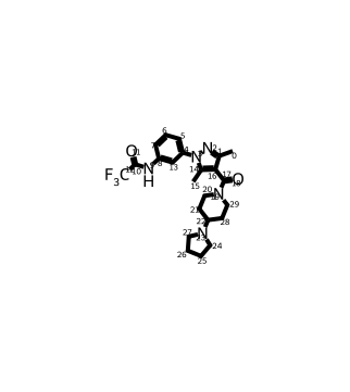 Cc1nn(-c2cccc(NC(=O)C(F)(F)F)c2)c(C)c1C(=O)N1CCC(N2CCCC2)CC1